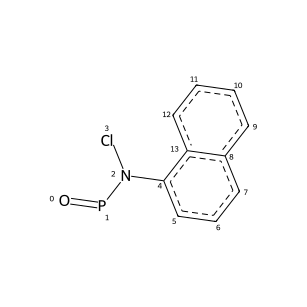 O=PN(Cl)c1cccc2ccccc12